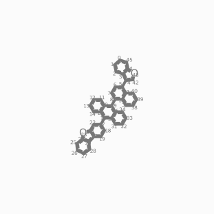 c1ccc2c(-c3ccc(-c4c5ccccc5c(-c5ccc6c(c5)oc5ccccc56)c5ccccc45)c4ccccc34)coc2c1